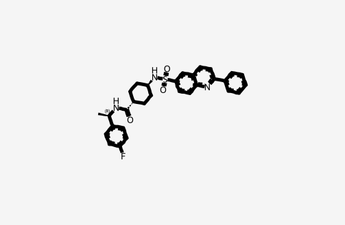 C[C@@H](NC(=O)[C@H]1CC[C@H](NS(=O)(=O)c2ccc3nc(-c4ccccc4)ccc3c2)CC1)c1ccc(F)cc1